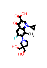 Cc1c(N2CCC(CO)(CO)C2)c(F)cc2c(=O)c(C(=O)O)cn(C3CC3)c12